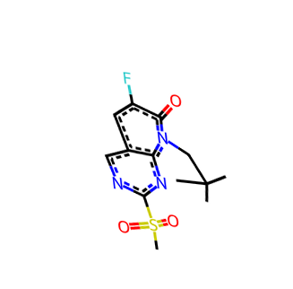 CC(C)(C)Cn1c(=O)c(F)cc2cnc(S(C)(=O)=O)nc21